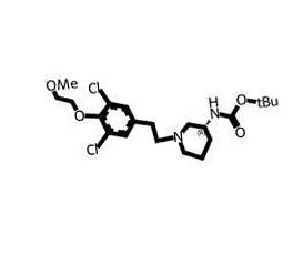 COCCOc1c(Cl)cc(CCN2CCC[C@@H](NC(=O)OC(C)(C)C)C2)cc1Cl